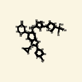 Fc1ccc(-c2nc3cc(Nc4nnc(-c5ccc(C(F)(F)F)cc5)s4)c(C4CNCCO4)cc3n2C2CC2)cc1